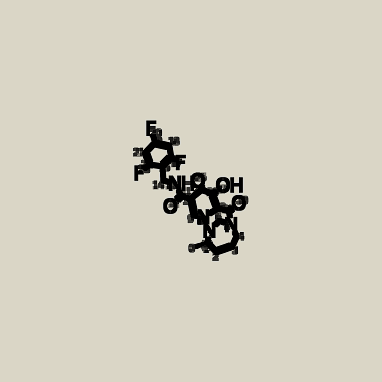 C[C@@H]1C=CCN2CN1n1cc(C(=O)NCc3c(F)cc(F)cc3F)c(=O)c(O)c1C2=O